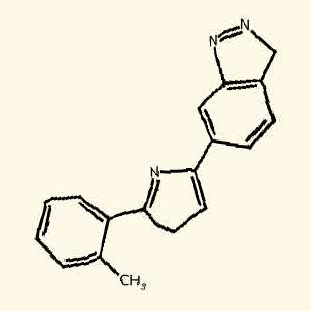 Cc1ccccc1C1=NC(c2ccc3c(c2)N=NC3)=CC1